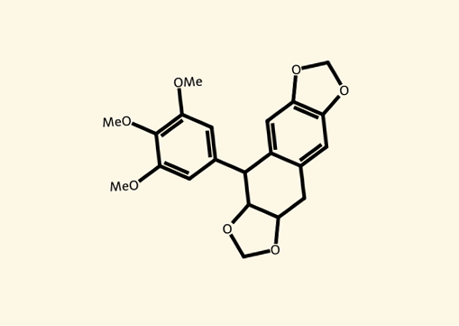 COc1cc(C2c3cc4c(cc3CC3OCOC32)OCO4)cc(OC)c1OC